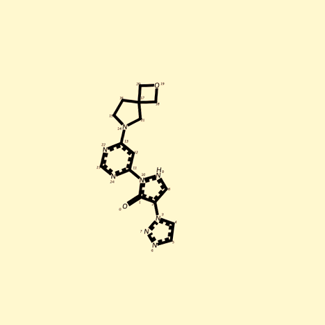 O=c1c(-n2ccnn2)c[nH]n1-c1cc(N2CCC3(COC3)C2)ncn1